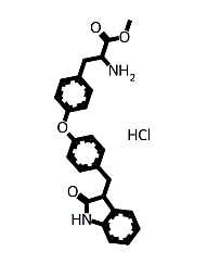 COC(=O)C(N)Cc1ccc(Oc2ccc(CC3C(=O)Nc4ccccc43)cc2)cc1.Cl